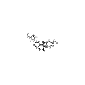 CCn1cc(-c2cnc(N)c(-c3nc4ccc(OC)cc4[nH]3)c2)cn1